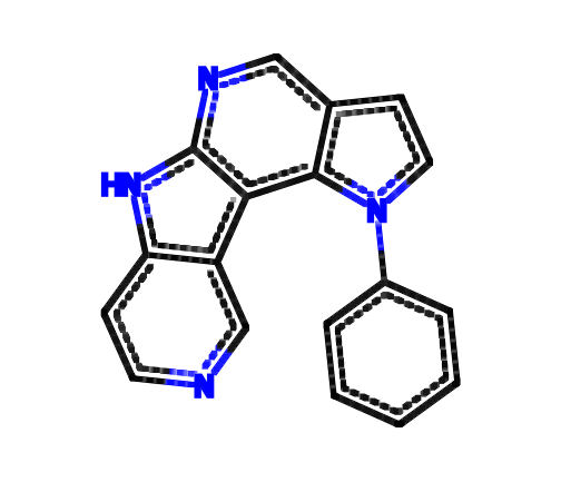 c1ccc(-n2ccc3cnc4[nH]c5ccncc5c4c32)cc1